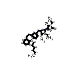 C=C1/C(=C\c2ccc3c(c2)CCc2ccccc2N3CCCCCC)S/C(=C2/SC(=S)N(CC)C2=O)N1CC